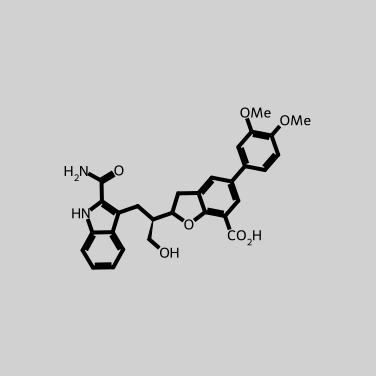 COc1ccc(-c2cc3c(c(C(=O)O)c2)OC([C@@H](CO)Cc2c(C(N)=O)[nH]c4ccccc24)C3)cc1OC